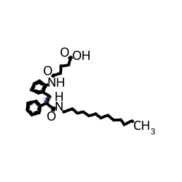 CCCCCCCCCCCCCNC(=O)/C(=C/c1ccccc1NC(=O)CCCC(=O)O)c1ccccc1